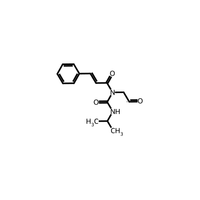 CC(C)NC(=O)N(C[C]=O)C(=O)C=Cc1ccccc1